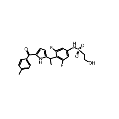 Cc1ccc(C(=O)c2ccc(C(C)c3c(F)cc(NS(=O)(=O)CCO)cc3F)[nH]2)cc1